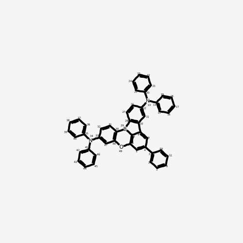 c1ccc(-c2cc3c4c(c2)-c2cc(N(c5ccccc5)c5ccccc5)ccc2B4c2ccc(N(c4ccccc4)c4ccccc4)cc2O3)cc1